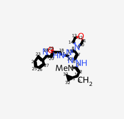 C=C(/C=C(\NC)Nc1cc(N2CCOCC2)nc(NCc2cc(-c3ccccc3)no2)n1)C1CC1